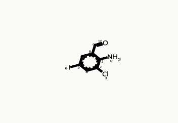 Nc1c(Cl)cc(I)cc1C=O